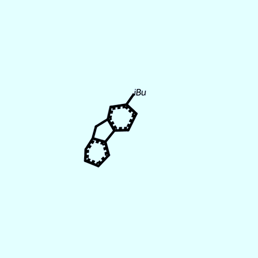 CCC(C)c1ccc2c(c1)Cc1ccccc1-2